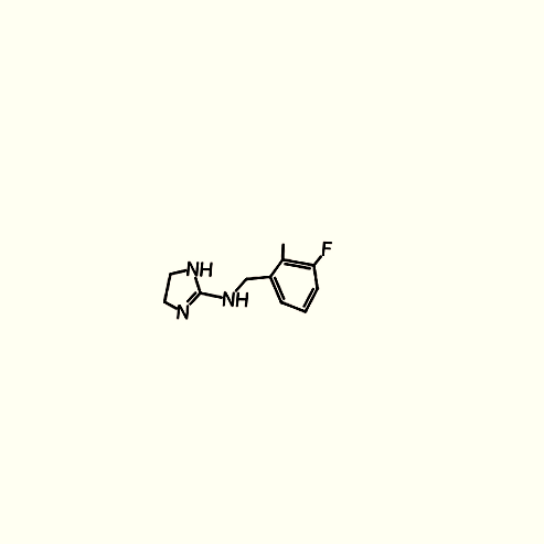 Cc1c(F)cccc1CNC1=NCCN1